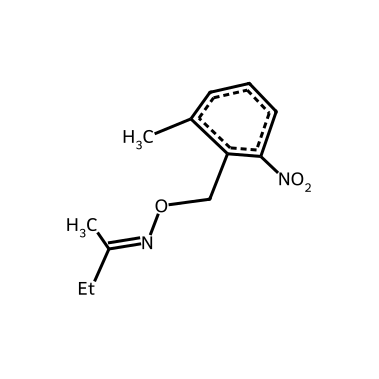 CCC(C)=NOCc1c(C)cccc1[N+](=O)[O-]